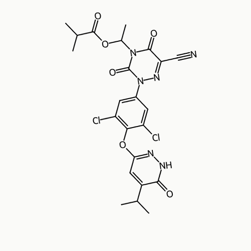 CC(C)C(=O)OC(C)n1c(=O)c(C#N)nn(-c2cc(Cl)c(Oc3cc(C(C)C)c(=O)[nH]n3)c(Cl)c2)c1=O